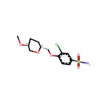 CO[C@H]1CC[C@H](COc2ccc(S(N)(=O)=O)cc2Cl)OC1